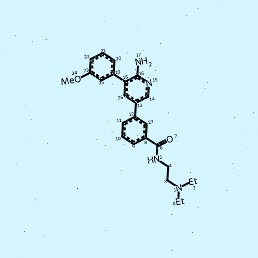 CCN(CC)CCNC(=O)c1cccc(-c2cnc(N)c(-c3cccc(OC)c3)c2)c1